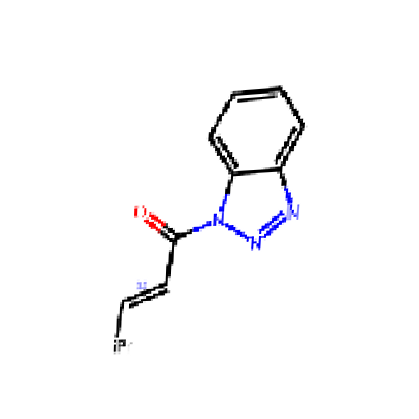 CC(C)/C=C/C(=O)n1nnc2ccccc21